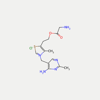 Cc1ncc(C[n+]2csc(CCOC(=O)CN)c2C)c(N)n1.[Cl-]